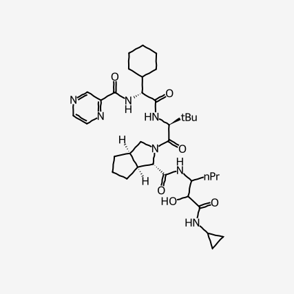 CCCC(NC(=O)[C@@H]1[C@H]2CCC[C@H]2CN1C(=O)[C@@H](NC(=O)[C@H](NC(=O)c1cnccn1)C1CCCCC1)C(C)(C)C)C(O)C(=O)NC1CC1